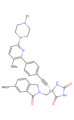 CCN1CCN(c2ccc(OC)c(-c3ccc(C#C[C@]4(CN5Cc6ccc(OC)cc6C5=O)NC(=O)NC4=O)cc3)n2)CC1